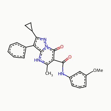 COc1cccc(NC(=O)c2c(C)[nH]c3c(-c4ccccc4)c(C4CC4)nn3c2=O)c1